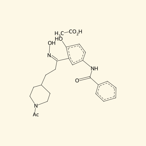 CC(=O)N1CCC(CCC(=NO)c2cc(NC(=O)c3ccccc3)ccc2O)CC1.CC(=O)O